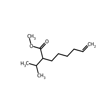 C=CCCCCC(C(=O)OC)C(C)C